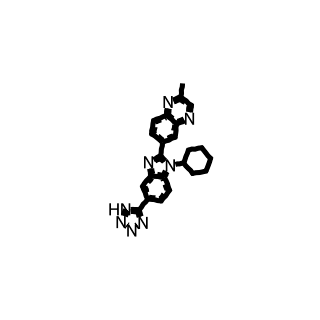 Cc1cnc2cc(-c3nc4cc(-c5nnn[nH]5)ccc4n3C3CCCCC3)ccc2n1